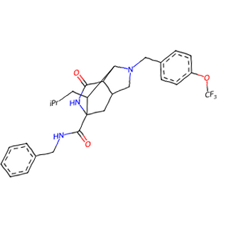 CC(C)CC1C2C3C(=O)NC1(C(=O)NCc1ccccc1)CC3CN2Cc1ccc(OC(F)(F)F)cc1